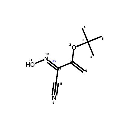 C=C(OC(C)(C)C)/C(C#N)=N/O